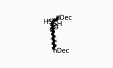 CCCCCCCCCCCCCCCCCCOC(=O)CC(S)(S)CCCCCCCCCCCC